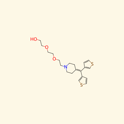 OCCOCCOCCN1CCC(=C(c2ccsc2)c2ccsc2)CC1